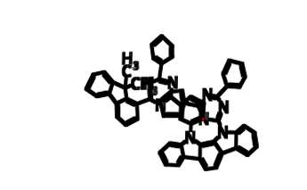 CC1(C)c2ccccc2-c2cccc(-c3nc(-c4ccccc4)nc(-c4cccc(-n5c6ccccc6c6ccc7c8ccccc8n(-c8nc(-c9ccccc9)nc(-c9ccccc9)n8)c7c65)c4)n3)c21